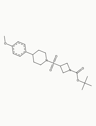 COc1ccc(C2CCN(S(=O)(=O)C3CN(C(=O)OC(C)(C)C)C3)CC2)cc1